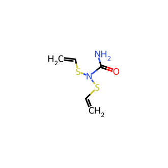 C=CSN(SC=C)C(N)=O